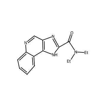 CCN(CC)C(=O)c1nc2cnc3ccccc3c2[nH]1